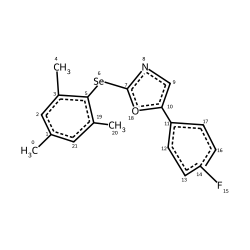 Cc1cc(C)c([Se]c2ncc(-c3ccc(F)cc3)o2)c(C)c1